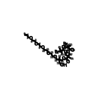 C=CCOCCOCCOCCOCCOCC(C)(CO)COC(=O)C(C)(COC(=O)C(C)(C)Br)COC(O)C(C)(C)Br